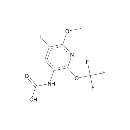 COc1nc(OC(F)(F)F)c(NC(=O)O)cc1I